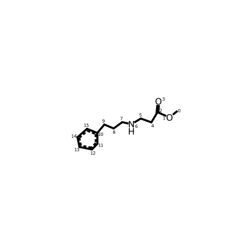 COC(=O)CCNCCCc1ccccc1